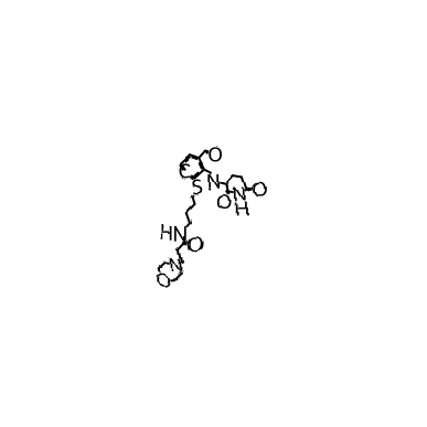 CN(Cc1c(C=O)cccc1SCCCCNC(=O)CCN1CCOCC1)C1CCC(=O)NC1=O